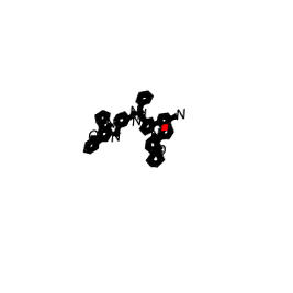 N#Cc1ccc(-c2cc(-c3nc(-c4ccccc4)nc(-c4ccc(-n5c6ccccc6c6c7oc8ccccc8c7ccc65)c(C#N)c4)n3)ccc2-n2c3ccccc3c3c4oc5ccccc5c4ccc32)cc1